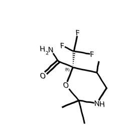 CC1CNC(C)(C)O[C@]1(C(N)=O)C(F)(F)F